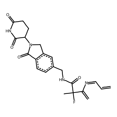 C=C/C=N\C(=C)C(C)(F)C(=O)NCc1ccc2c(c1)CN(C1CCC(=O)NC1=O)C2=O